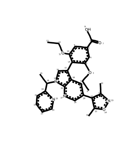 CCOc1cc(C(=O)O)cc(OCC)c1-c1cn(C(C)c2ccccn2)c2ncc(-c3c(C)noc3C)cc12